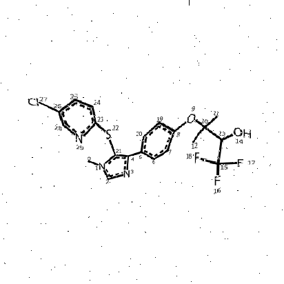 Cn1cnc(-c2ccc(OC(C)(C)C(O)C(F)(F)F)cc2)c1Sc1ccc(Cl)cn1